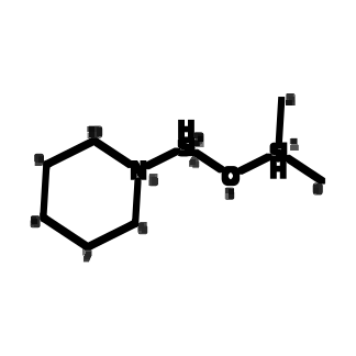 C[SiH](C)O[SiH2]N1CCCCC1